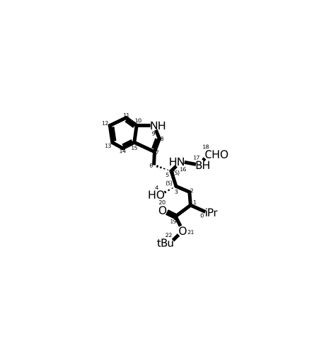 CC(C)C(C[C@H](O)[C@H](Cc1c[nH]c2ccccc12)NBC=O)C(=O)OC(C)(C)C